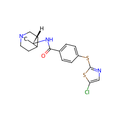 O=C(N[C@H]1CN2CCC1CC2)c1ccc(Sc2ncc(Cl)s2)cc1